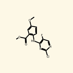 COC(=O)c1cc(OC)ccc1Nc1nc(Cl)ncc1F